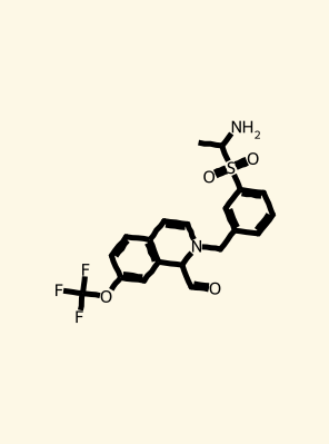 CC(N)S(=O)(=O)c1cccc(CN2C=Cc3ccc(OC(F)(F)F)cc3C2C=O)c1